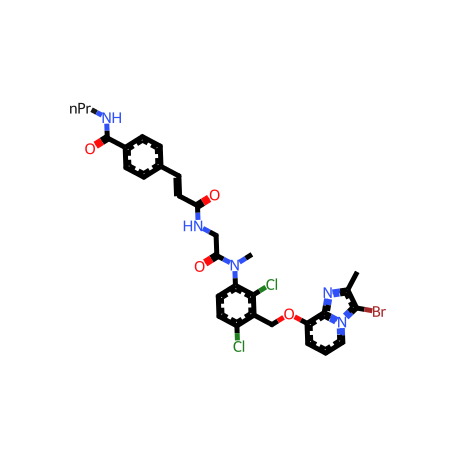 CCCNC(=O)c1ccc(C=CC(=O)NCC(=O)N(C)c2ccc(Cl)c(COc3cccn4c(Br)c(C)nc34)c2Cl)cc1